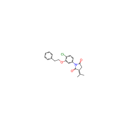 CC(C)=C1CC(=O)N(c2ccc(Cl)c(OCCc3ccccc3)c2)C1=O